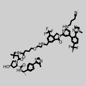 Cc1ncsc1-c1ccc([C@H](C)NC(=O)[C@@H]2C[C@@H](O)CN2C(=O)[C@@H](NC(=O)CCCOCCNCc2cc3c(c(C(F)(F)F)c2)CN(c2cc(-c4cc(C(F)(F)F)ccc4-c4nncn4C)cc(NCCCC#N)n2)C3=O)C(C)(C)C)cc1